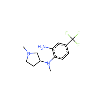 CN1CCC(N(C)c2ccc(C(F)(F)F)cc2N)C1